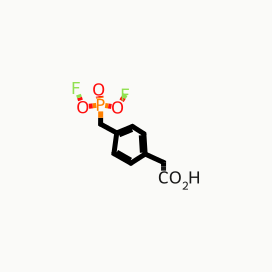 O=C(O)Cc1ccc(CP(=O)(OF)OF)cc1